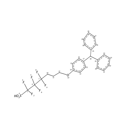 O=S(=O)(O)C(F)(F)C(F)(F)C(F)(F)CCCOc1ccc(C(c2ccccc2)c2ccccc2)cc1